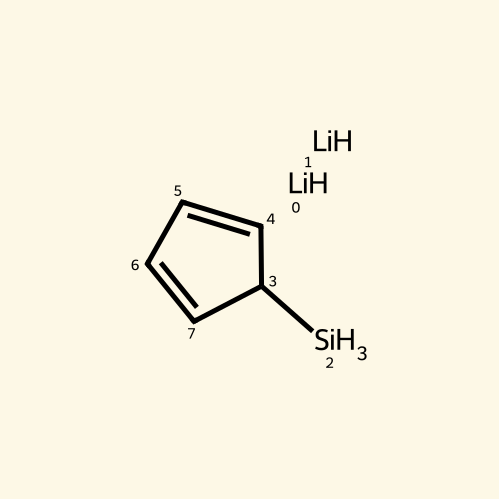 [LiH].[LiH].[SiH3]C1C=CC=C1